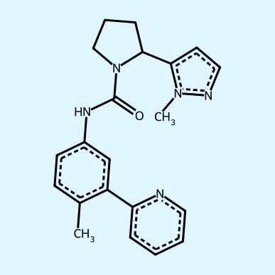 Cc1ccc(NC(=O)N2CCCC2c2ccnn2C)cc1-c1ccccn1